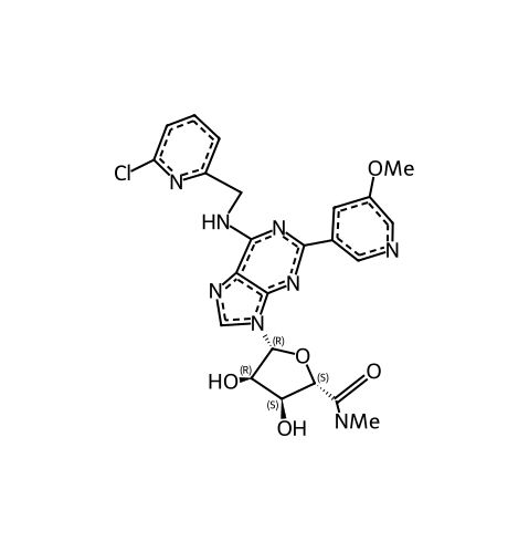 CNC(=O)[C@H]1O[C@@H](n2cnc3c(NCc4cccc(Cl)n4)nc(-c4cncc(OC)c4)nc32)[C@H](O)[C@@H]1O